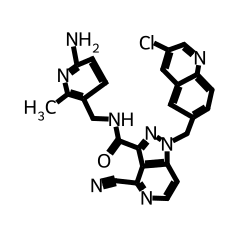 Cc1nc(N)ccc1CNC(=O)c1nn(Cc2ccc3ncc(Cl)cc3c2)c2ccnc(C#N)c12